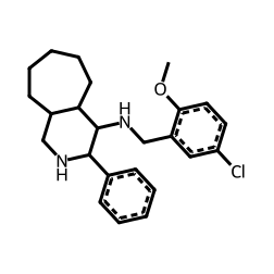 COc1ccc(Cl)cc1CNC1C(c2ccccc2)NCC2CCCCCC21